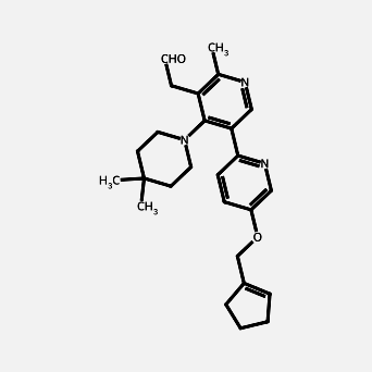 Cc1ncc(-c2ccc(OCC3=CCCC3)cn2)c(N2CCC(C)(C)CC2)c1CC=O